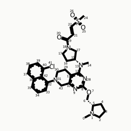 CN1CCC[C@H]1COc1nc2c(c(N(C)[C@@H]3CCN(C(=O)/C=C/S(C)(=O)=O)C3)n1)CCN(c1cccc3cccc(Cl)c13)C2